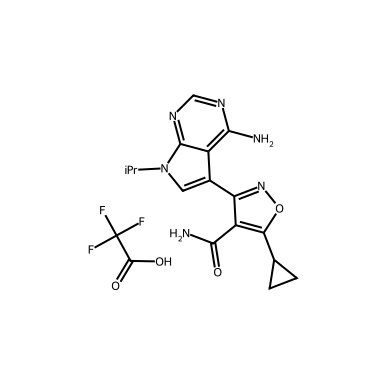 CC(C)n1cc(-c2noc(C3CC3)c2C(N)=O)c2c(N)ncnc21.O=C(O)C(F)(F)F